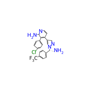 NC[C@H](c1ccc(C(F)(F)F)cc1)n1cc(-c2ccnc(N)c2-c2ccc(Cl)cc2)cn1